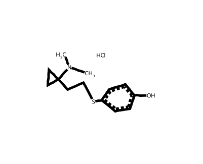 CN(C)C1(CCSc2ccc(O)cc2)CC1.Cl